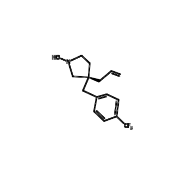 C=CC[C@]1(Cc2ccc(C(F)(F)F)cc2)CCN(O)C1